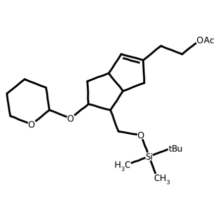 CC(=O)OCCC1=CC2CC(OC3CCCCO3)C(CO[Si](C)(C)C(C)(C)C)C2C1